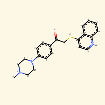 CN1CCN(c2ccc(C(=O)CSc3ccnc4ccccc34)cc2)CC1